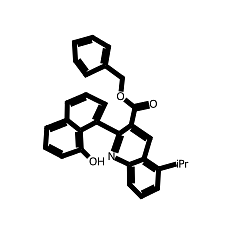 CC(C)c1cccc2nc(-c3cccc4cccc(O)c34)c(C(=O)OCc3ccccc3)cc12